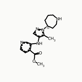 COC(=O)c1ccncc1Nc1cnn([C@H]2CCCNCC2)c1C